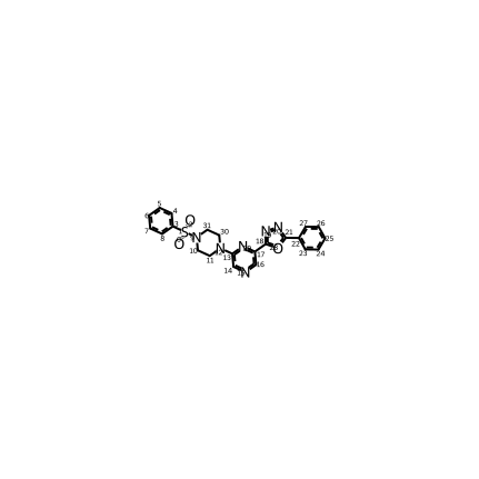 O=S(=O)(c1ccccc1)N1CCN(c2cncc(-c3nnc(-c4ccccc4)o3)n2)CC1